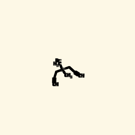 C#CC[N+](C)(C)CC#C.[Br-]